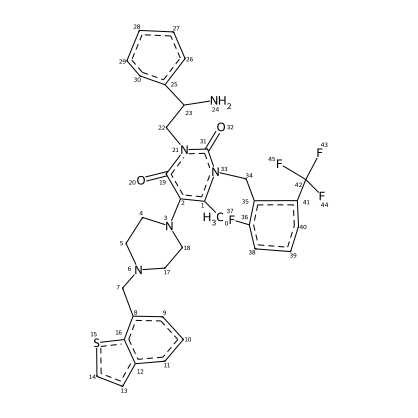 Cc1c(N2CCN(Cc3cccc4ccsc34)CC2)c(=O)n(CC(N)c2ccccc2)c(=O)n1Cc1c(F)cccc1C(F)(F)F